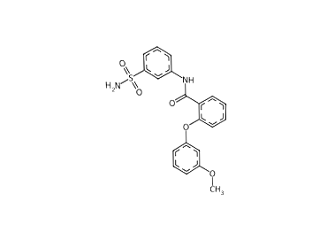 COc1cccc(Oc2ccccc2C(=O)Nc2cccc(S(N)(=O)=O)c2)c1